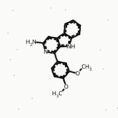 COc1ccc(-c2nc(N)cc3c2[nH]c2ccccc23)cc1OC